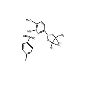 COc1ccc(B2OC(C)(C)C(C)(C)O2)nc1NS(=O)(=O)c1ccc(F)cc1